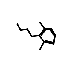 CCCCc1c(C)cccc1C